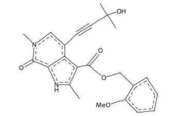 COc1ccccc1COC(=O)c1c(C)[nH]c2c(=O)n(C)cc(C#CC(C)(C)O)c12